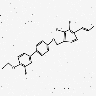 C/C=C/c1ccc(COc2ccc(-c3ccc(OCC)c(F)c3)cc2)c(F)c1F